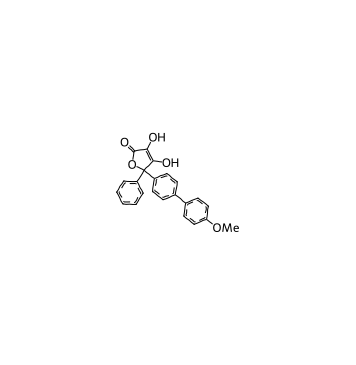 COc1ccc(-c2ccc(C3(c4ccccc4)OC(=O)C(O)=C3O)cc2)cc1